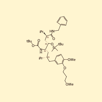 COCCCOc1cc(C[C@@H](C[C@H](NC(=O)OC(C)(C)C)[C@H](C[C@H](C(=O)NCc2ccccc2)C(C)C)O[Si](C)(C)C(C)(C)C)C(C)C)ccc1OC